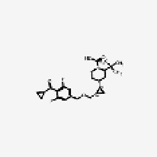 CC(C)(C)C1CC([C@H]2C[C@H]2COCc2cc(F)c(C(=O)C3CC3)c(F)c2)CCN1C(=O)O